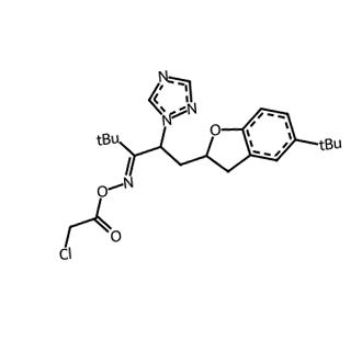 CC(C)(C)C(=NOC(=O)CCl)C(CC1Cc2cc(C(C)(C)C)ccc2O1)n1cncn1